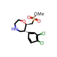 COS(=O)(=O)C[C@@H]1OCCNC[C@H]1c1ccc(Cl)c(Cl)c1